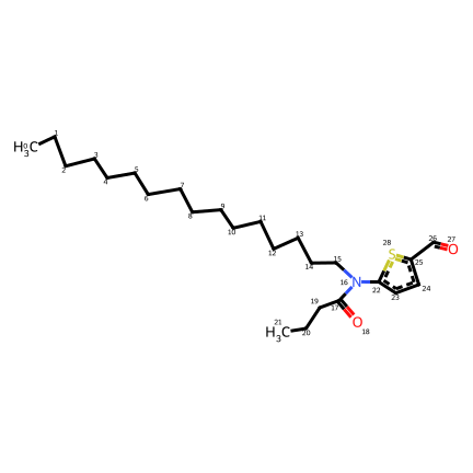 CCCCCCCCCCCCCCCCN(C(=O)CCC)c1ccc(C=O)s1